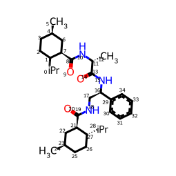 CC(C)C1CC[C@@H](C)C[C@H]1C(=O)N[C@H](C)C(=O)N[C@H](CNC(=O)[C@@H]1C[C@H](C)CC[C@H]1C(C)C)c1ccccc1